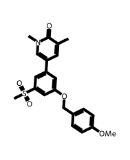 COc1ccc(COc2cc(-c3cc(C)c(=O)n(C)c3)cc(S(C)(=O)=O)c2)cc1